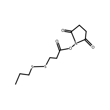 CCCSSCCC(=O)ON1C(=O)CCC1=O